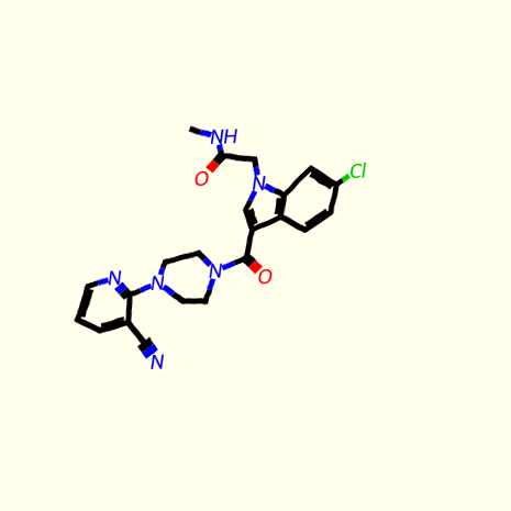 CNC(=O)Cn1cc(C(=O)N2CCN(c3ncccc3C#N)CC2)c2ccc(Cl)cc21